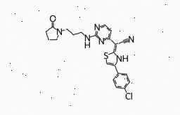 N#C/C(=C1\NC(c2ccc(Cl)cc2)=CS1)c1ccnc(NCCCN2CCCC2=O)n1